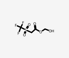 O=C(CS(=O)(=O)C(F)(F)F)OCO